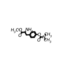 COC(=O)[C@@H](N)Cc1ccc(OC(=O)N(C)C)cc1